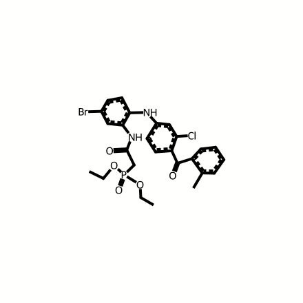 CCOP(=O)(CC(=O)Nc1cc(Br)ccc1Nc1ccc(C(=O)c2ccccc2C)c(Cl)c1)OCC